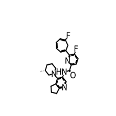 C[C@@H]1CCCN(c2c(NC(=O)c3ccc(F)c(C4=CC=CC=C(F)C4)n3)cnc3c2CCC3)C1